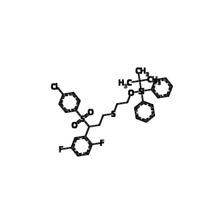 CC(C)(C)[Si](OCCSCCC(c1cc(F)ccc1F)S(=O)(=O)c1ccc(Cl)cc1)(c1ccccc1)c1ccccc1